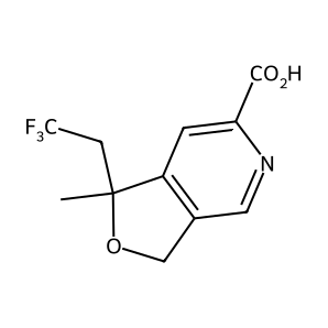 CC1(CC(F)(F)F)OCc2cnc(C(=O)O)cc21